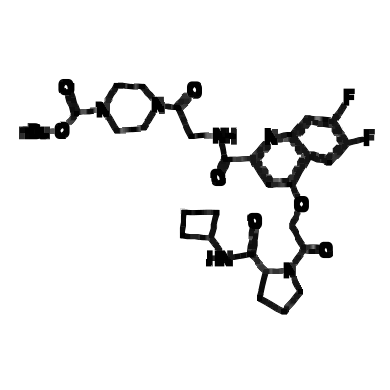 CCCCOC(=O)N1CCN(C(=O)CNC(=O)c2cc(OCC(=O)N3CCCC3C(=O)NC3CCC3)c3cc(F)c(F)cc3n2)CC1